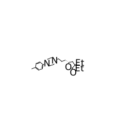 CCC1(CC)C[C@@H](CCCN2CCN(c3ccc(C)cc3)CC2)OC1=O